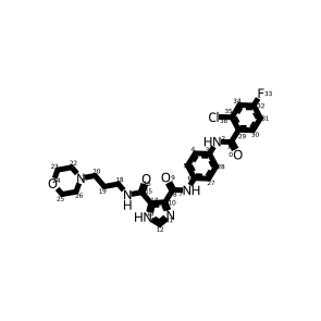 O=C(Nc1ccc(NC(=O)c2nc[nH]c2C(=O)NCCCN2CCOCC2)cc1)c1ccc(F)cc1Cl